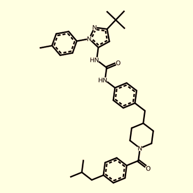 Cc1ccc(-n2nc(C(C)(C)C)cc2NC(=O)Nc2ccc(CC3CCN(C(=O)c4ccc(CC(C)C)cc4)CC3)cc2)cc1